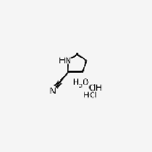 Cl.Cl.N#CC1CCCN1.O